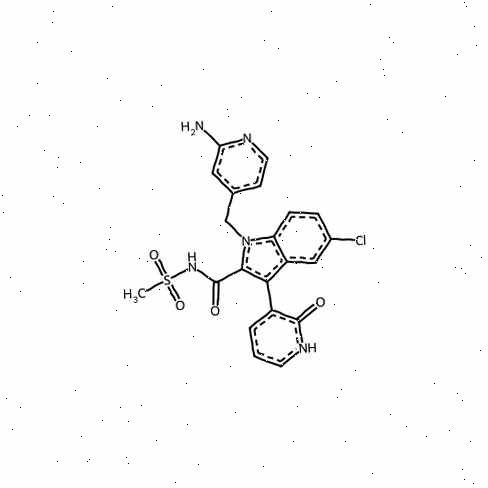 CS(=O)(=O)NC(=O)c1c(-c2ccc[nH]c2=O)c2cc(Cl)ccc2n1Cc1ccnc(N)c1